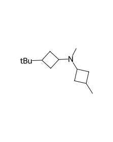 CC1CC(N(C)C2CC(C(C)(C)C)C2)C1